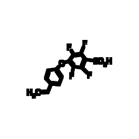 C=Cc1ccc(Oc2c(F)c(F)c(S(=O)(=O)O)c(F)c2F)cc1